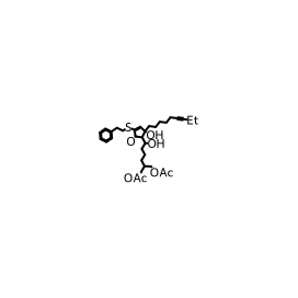 CCC#CCCCCCC1(O)C=C(SCCc2ccccc2)C(=O)C1C(O)CCCC(COC(C)=O)COC(C)=O